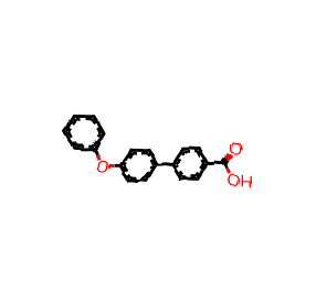 O=C(O)c1ccc(-c2ccc(Oc3ccccc3)cc2)cc1